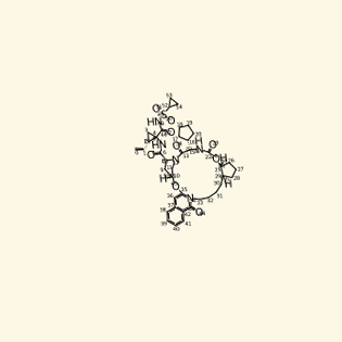 C=C[C@@H]1C[C@]1(NC(=O)[C@@H]1C[C@@H]2CN1C(=O)[C@H](C1CCCC1)NC(=O)O[C@@H]1CCC[C@H]1CCCCn1c(cc3ccccc3c1=O)O2)C(=O)NS(=O)(=O)C1CC1